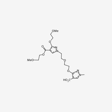 COCCOC(=O)c1cn(CCOCCOc2nn(C)cc2C(=O)O)nc1OCCOC